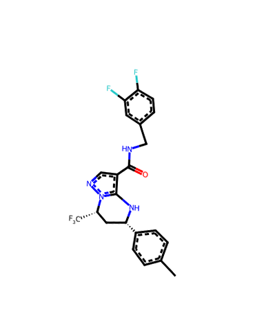 Cc1ccc([C@@H]2C[C@H](C(F)(F)F)n3ncc(C(=O)NCc4ccc(F)c(F)c4)c3N2)cc1